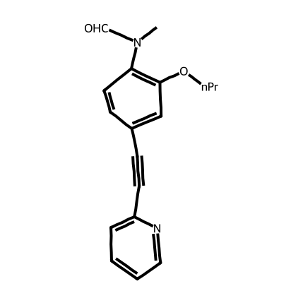 CCCOc1cc(C#Cc2ccccn2)ccc1N(C)C=O